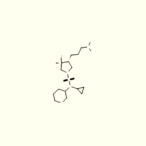 C[C@]1(N)CN(S(=O)(=O)N(C2CC2)C2CCCNC2)C[C@@H]1CCCB(O)O